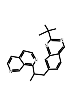 CC(Cc1ccc2cnc(C(C)(C)C)nc2c1)c1nccc2ccncc12